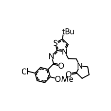 COc1ccc(Cl)cc1C(=O)N=c1sc(C(C)(C)C)cn1CCN1CCCC1=O